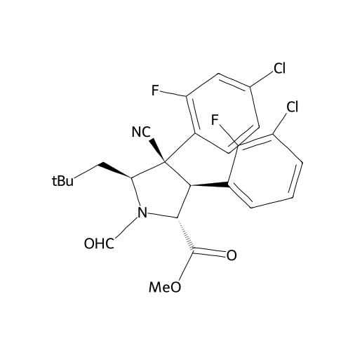 COC(=O)[C@H]1[C@H](c2cccc(Cl)c2F)[C@@](C#N)(c2ccc(Cl)cc2F)[C@H](CC(C)(C)C)N1C=O